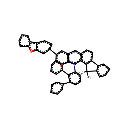 CC1(C)c2ccccc2-c2cccc(N(c3ccc(-c4ccc5c(c4)oc4ccccc45)cc3)c3cccc(-c4ccccc4)c3-c3ccccc3-c3ccccc3)c21